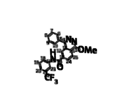 COc1nnc(-c2ccccc2)c2cc(C(=O)Nc3cccc(C(F)(F)F)c3)ccc12